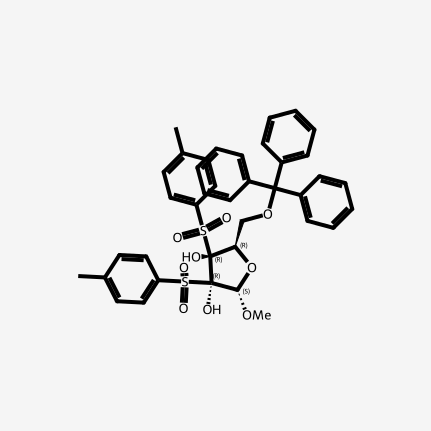 CO[C@H]1O[C@H](COC(c2ccccc2)(c2ccccc2)c2ccccc2)[C@@](O)(S(=O)(=O)c2ccc(C)cc2)[C@]1(O)S(=O)(=O)c1ccc(C)cc1